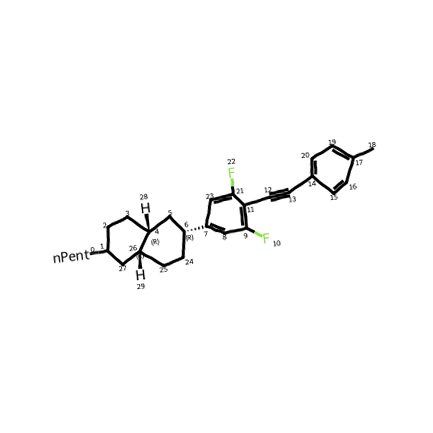 CCCCCC1CC[C@@H]2C[C@H](c3cc(F)c(C#Cc4ccc(C)cc4)c(F)c3)CC[C@@H]2C1